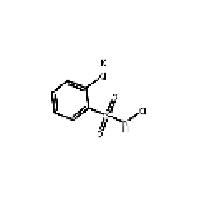 O=S(=O)(NCl)c1ccccc1Cl.[K]